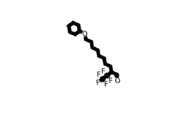 O=[C]C(CCCCCCCCOC1CC[CH]CC1)C(F)(F)C(F)(F)F